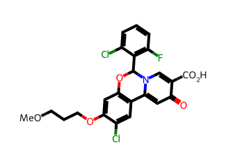 COCCCOc1cc2c(cc1Cl)-c1cc(=O)c(C(=O)O)cn1C(c1c(F)cccc1Cl)O2